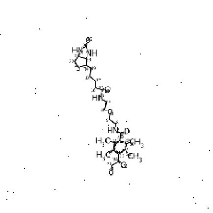 Cc1c(C)c(C(=O)NCCOCCNC(=O)CCCCC2SCC3NC(=O)NC32)c(C)c(C)c1C(=O)C=O